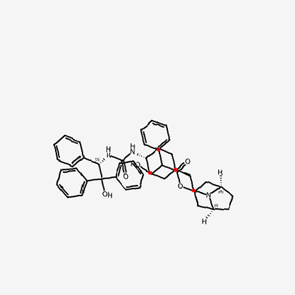 O=C(N[C@@H](c1ccccc1)C(O)(c1ccccc1)c1ccccc1)N[C@H]1CC[C@H](CCN2[C@@H]3CC[C@H]2CC(OC(=O)C(CO)c2ccccc2)C3)CC1